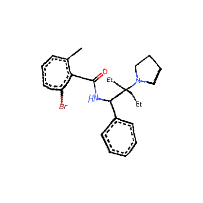 CCC(CC)(C(NC(=O)c1c(C)cccc1Br)c1ccccc1)N1CCCC1